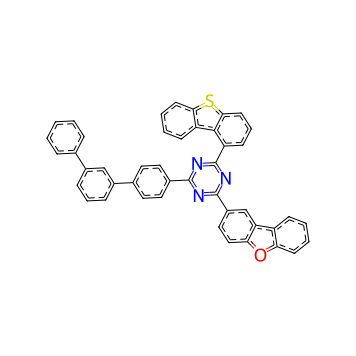 c1ccc(-c2cccc(-c3ccc(-c4nc(-c5ccc6oc7ccccc7c6c5)nc(-c5cccc6sc7ccccc7c56)n4)cc3)c2)cc1